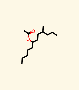 CCCCCC(CCC(C)CCC)OC(C)=O